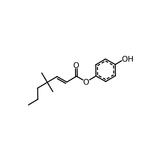 CCCC(C)(C)/C=C/C(=O)Oc1ccc(O)cc1